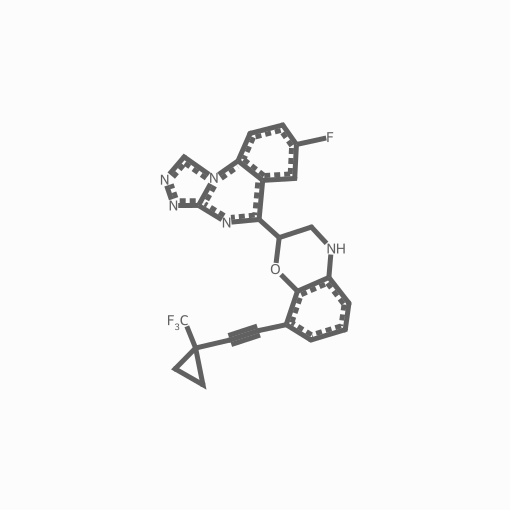 Fc1ccc2c(c1)c(C1CNc3cccc(C#CC4(C(F)(F)F)CC4)c3O1)nc1nncn12